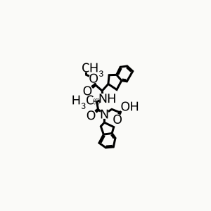 CCOC(=O)C(N[C@@H](C)C(=O)N(CC(=O)O)C1Cc2ccccc2C1)C1Cc2ccccc2C1